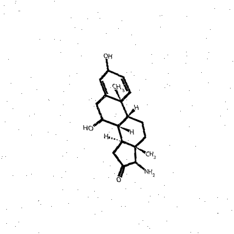 C[C@]12C=CC(O)C=C1CC(O)[C@@H]1[C@H]2CC[C@]2(C)C(N)C(=O)C[C@@H]12